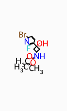 CC(C)(C)OC(=O)N[C@H]1C[C@@](O)(c2ccc(Br)nc2F)C1